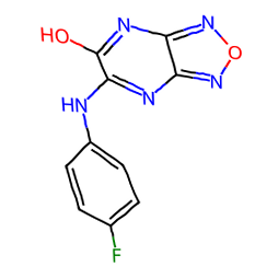 Oc1nc2nonc2nc1Nc1ccc(F)cc1